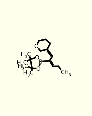 CC/C=C(\C=C1\CCCOC1)B1OC(C)(C)C(C)(C)O1